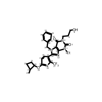 CCn1c(=O)n(CCCO)c(=O)c2c1nc(-c1ccc(OC3CCC3C)nc1C(F)(F)F)n2Cc1ccccc1